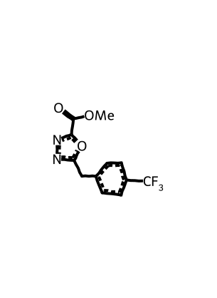 COC(=O)c1nnc(Cc2ccc(C(F)(F)F)cc2)o1